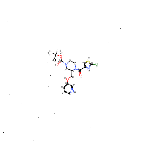 CC(C)(C)OC(=O)N1CCN(C(=O)c2csc(Cl)n2)C(COc2cccnc2)C1